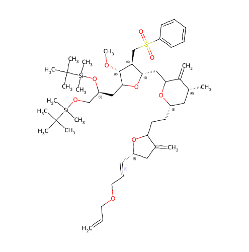 C=CCOC/C=C/[C@H]1CC(=C)C(CC[C@H]2C[C@@H](C)C(=C)C(C[C@@H]3OC(C[C@@H](CO[Si](C)(C)C(C)(C)C)O[Si](C)(C)C(C)(C)C)[C@H](OC)[C@H]3CS(=O)(=O)c3ccccc3)O2)O1